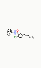 C=CCCc1ccc(Cl)c(C(=O)NCC23CC4CC(CC(C4)C2)C3)c1